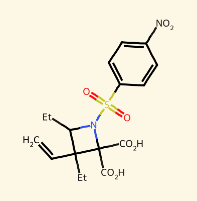 C=CC1(CC)C(CC)N(S(=O)(=O)c2ccc([N+](=O)[O-])cc2)C1(C(=O)O)C(=O)O